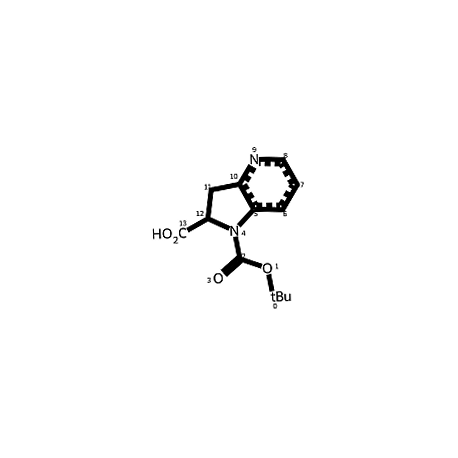 CC(C)(C)OC(=O)N1c2cccnc2CC1C(=O)O